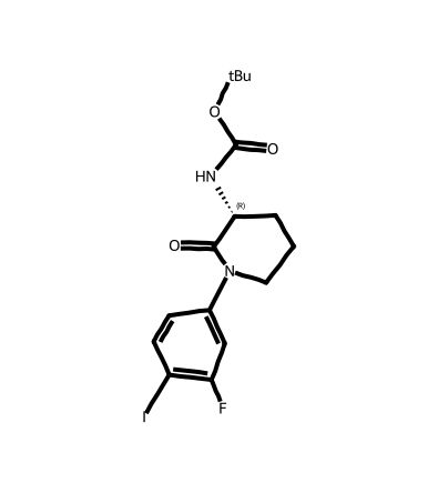 CC(C)(C)OC(=O)N[C@@H]1CCCN(c2ccc(I)c(F)c2)C1=O